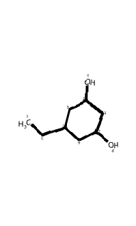 CCC1CC(O)CC(O)C1